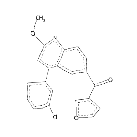 COc1cc(-c2cccc(Cl)c2)c2cc(C(=O)c3ccoc3)ccc2n1